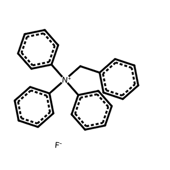 [F-].c1ccc(C[N+](c2ccccc2)(c2ccccc2)c2ccccc2)cc1